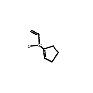 C=C[S+]([O-])C1=CCCC1